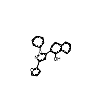 Oc1c(-c2cc(-c3ccco3)nn2-c2ccccc2)ccc2ccccc12